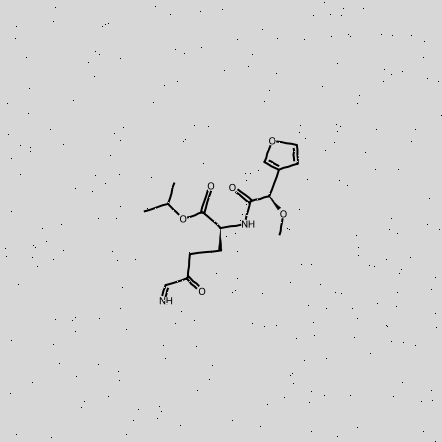 CO[C@@H](C(=O)N[C@@H](CCC(=O)C=N)C(=O)OC(C)C)c1ccoc1